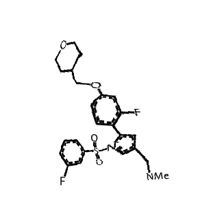 CNCc1cc(-c2ccc(OCC3CCOCC3)cc2F)n(S(=O)(=O)c2cccc(F)c2)c1